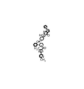 Cc1ccc(-c2nc(C)c(C(=O)N3CC[C@@H](C(=O)N4CCC(O)(Cn5cnc6c(ccn6-n6cccc6)c5=O)CC4)[C@H](c4ccccc4)C3)s2)cn1